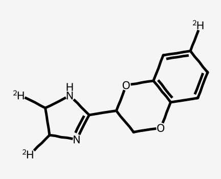 [2H]c1ccc2c(c1)OC(C1=NC([2H])C([2H])N1)CO2